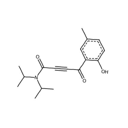 Cc1ccc(O)c(C(=O)C#CC(=O)N(C(C)C)C(C)C)c1